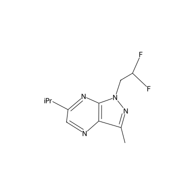 Cc1nn(CC(F)F)c2nc(C(C)C)cnc12